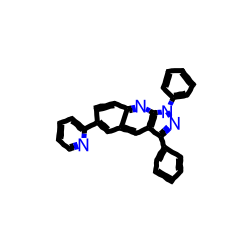 c1ccc(-c2nn(-c3ccccc3)c3nc4ccc(-c5ccccn5)cc4cc23)cc1